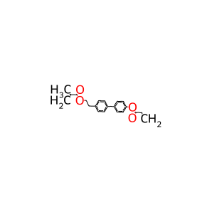 C=CC(=O)Oc1ccc(-c2ccc(CCOC(=O)C(=C)C)cc2)cc1